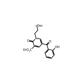 CCCCCCCCCCCCn1cc(C(=O)c2ccccc2O)cc(C(=O)OCC)c1=O